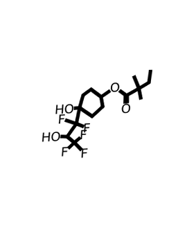 CCC(C)(C)C(=O)OC1CCC(O)(C(F)(F)C(O)C(F)(F)F)CC1